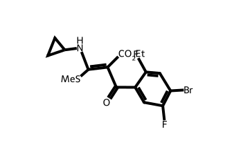 CCOC(=O)/C(C(=O)c1cc(F)c(Br)cc1F)=C(\NC1CC1)SC